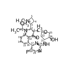 Cc1c(C2CCN2C)n(C(C)C)c2cccc(-c3nc(N[C@@H]4CCOC[C@H]4O)ncc3F)c2c1=O